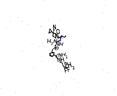 CC/C=C(\C=C(/N)NCC(=O)Cc1cccc(/C(=C/NCCCC(F)(F)P)CN)c1)N1CCC(C#N)(C2CC2)C1=O